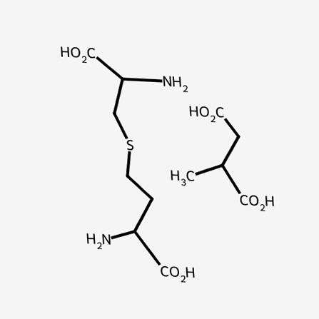 CC(CC(=O)O)C(=O)O.NC(CCSCC(N)C(=O)O)C(=O)O